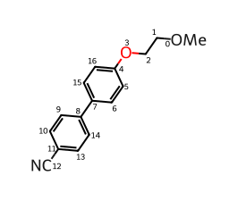 COCCOc1ccc(-c2ccc(C#N)cc2)cc1